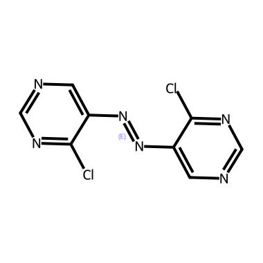 Clc1ncncc1/N=N/c1cncnc1Cl